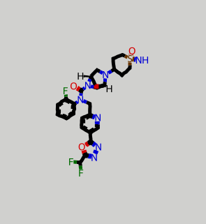 N=S1(=O)CCC(N2C[C@@H]3C[C@H]2CN3C(=O)N(Cc2ccc(-c3nnc(C(F)F)o3)cn2)c2ccccc2F)CC1